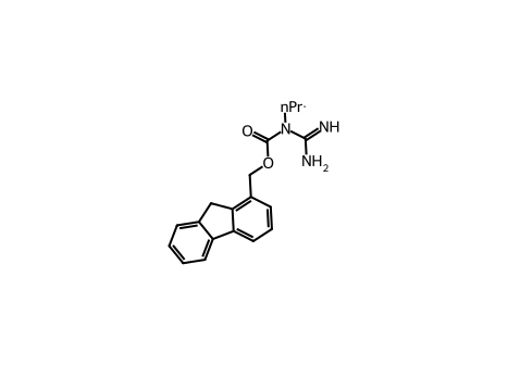 CC[CH]N(C(=N)N)C(=O)OCc1cccc2c1Cc1ccccc1-2